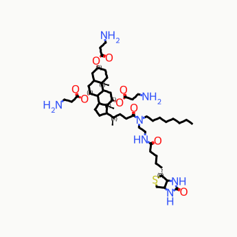 CCCCCCCCN(CCNC(=O)CCCC[C@H]1SCC2NC(=O)NC21)C(=O)CC[C@@H](C)C1CCC2C3C(C[C@H](OC(=O)CCN)[C@@]21C)[C@@]1(C)CC[C@@H](OC(=O)CCN)CC1C[C@H]3OC(=O)CCN